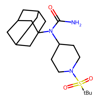 CC(C)(C)S(=O)(=O)N1CCC(N(C(N)=O)C23CC4CC(CC(C4)C2)C3)CC1